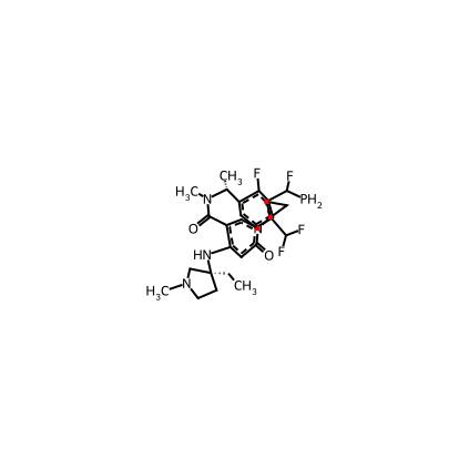 CC[C@]1(Nc2cc(=O)n(C3(C(F)F)CC3)cc2C(=O)N(C)[C@H](C)c2cccc(C(F)P)c2F)CCN(C)C1